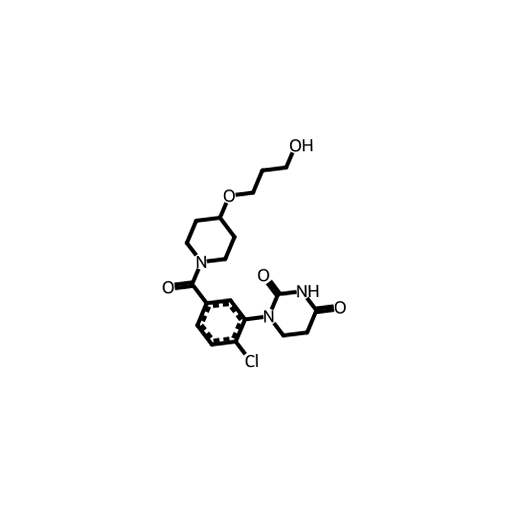 O=C1CCN(c2cc(C(=O)N3CCC(OCCCO)CC3)ccc2Cl)C(=O)N1